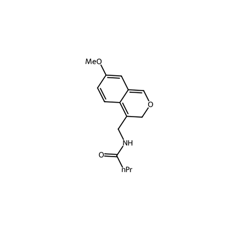 CCCC(=O)NCC1=c2ccc(OC)cc2=COC1